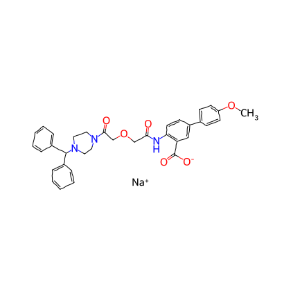 COc1ccc(-c2ccc(NC(=O)COCC(=O)N3CCN(C(c4ccccc4)c4ccccc4)CC3)c(C(=O)[O-])c2)cc1.[Na+]